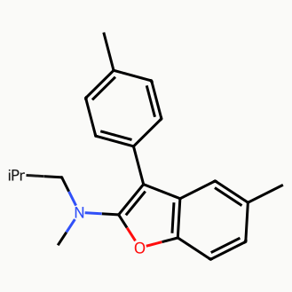 Cc1ccc(-c2c(N(C)CC(C)C)oc3ccc(C)cc23)cc1